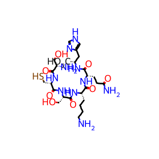 NCCCC[C@H](NC(=O)[C@H](CO)NC(=O)[C@H](CS)NC(=O)[C@@H](N)CO)C(=O)N[C@@H](CCC(N)=O)C(=O)N[C@@H](Cc1c[nH]cn1)C(=O)O